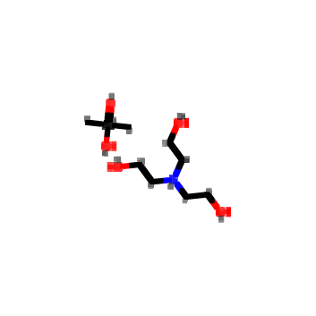 C[As](C)(=O)O.OCCN(CCO)CCO